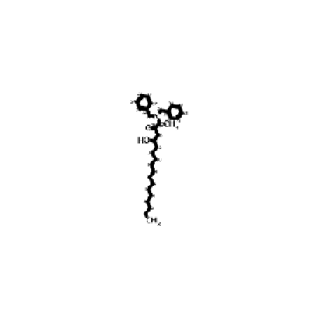 CCCCCCCCCCCCCC(O)CC(=O)[C@H](C)N(Cc1ccccc1)Cc1ccccc1